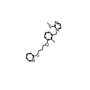 CSc1nccn1Cc1cccc(OCCCSc2ccccn2)c1C